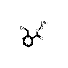 CC(C)(C)OOC(=O)c1ccccc1CBr